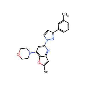 CC(=O)c1cc2nc(-n3ccc(-c4cccc(C)c4)n3)cc(N3CCOCC3)c2o1